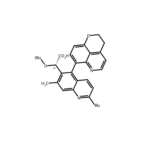 CCC(C)c1ccc2c(-c3ccc4c5c(ccnc35)CCO4)c([C@H](OC(C)(C)C)C(=O)O)c(C)cc2n1